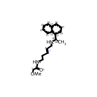 COCC(=O)NCC/C=C/CN[C@H](C)c1cccc2ccccc12